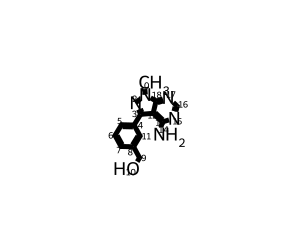 Cn1nc(-c2cccc(CO)c2)c2c(N)ncnc21